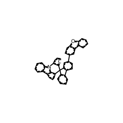 c1ccc2c(c1)-c1ccc(-c3ccc4oc5ccccc5c4c3)cc1C21c2ccccc2-n2c3ccccc3c3cccc1c32